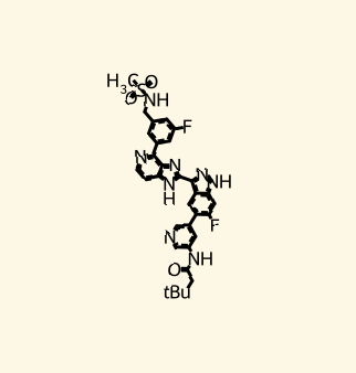 CC(C)(C)CC(=O)Nc1cncc(-c2cc3c(-c4nc5c(-c6cc(F)cc(CNS(C)(=O)=O)c6)nccc5[nH]4)n[nH]c3cc2F)c1